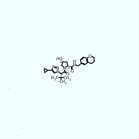 CC(C)(C)[C@@H](C(=O)N1C[C@H](O)C[C@H]1C(=O)NCc1ccc2c(c1)CCCO2)n1cc(C2CC2)nn1